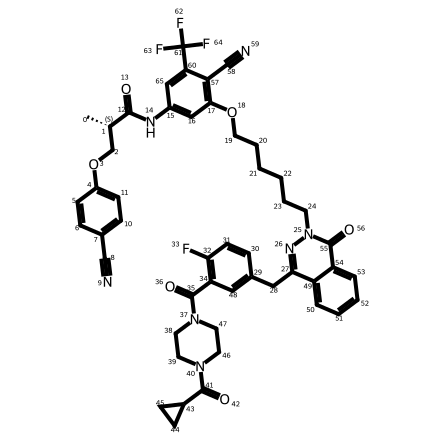 C[C@@H](COc1ccc(C#N)cc1)C(=O)Nc1cc(OCCCCCCn2nc(Cc3ccc(F)c(C(=O)N4CCN(C(=O)C5CC5)CC4)c3)c3ccccc3c2=O)c(C#N)c(C(F)(F)F)c1